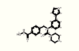 O=C(NO)c1ccc(CN(C(=O)N2CCOCC2)c2cccc(-c3ccoc3)c2)cc1